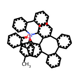 Cc1ccc(N(c2ccccc2-c2ccccc2)c2cccc3c2-c2c(ccc4c2oc2ccccc24)-c2ccccc2-c2ccccc2-3)cc1